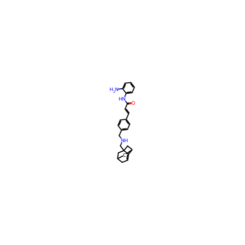 Nc1ccccc1NC(=O)/C=C/c1ccc(CNCC23CC4CC=C2C(C4)C3)cc1